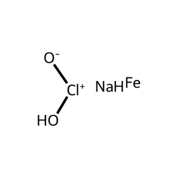 [Fe].[NaH].[O-][Cl+]O